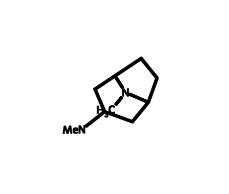 CNC1CC2CCC(C1)N2C